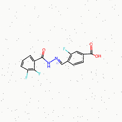 O=C(O)c1ccc(/C=N/NC(=O)c2cccc(F)c2F)c(F)c1